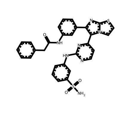 NS(=O)(=O)c1cccc(Nc2nccc(-c3c(-c4cccc(NC(=O)Cc5ccccc5)c4)nc4sccn34)n2)c1